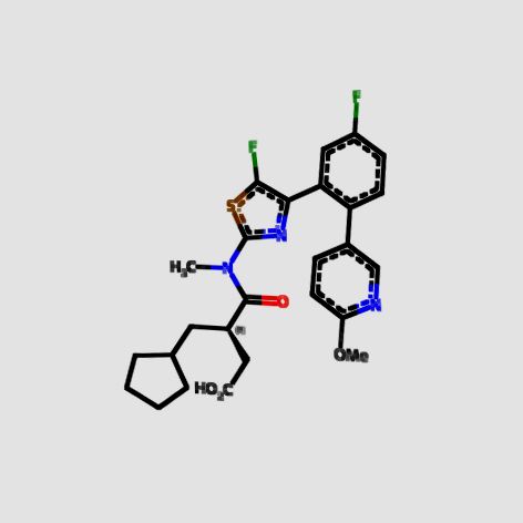 COc1ccc(-c2ccc(F)cc2-c2nc(N(C)C(=O)[C@@H](CC(=O)O)CC3CCCC3)sc2F)cn1